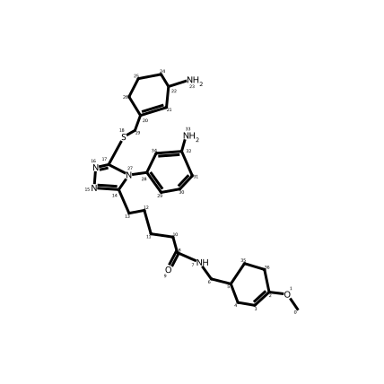 COC1=CCC(CNC(=O)CCCCc2nnc(SCC3=CC(N)CCC3)n2-c2cccc(N)c2)CC1